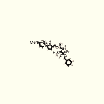 C=C(/C=C\N(C(C)=O)C1CCC(COB(C)NC(C)C(C)(CCC)OCc2ccccc2)P1)NC